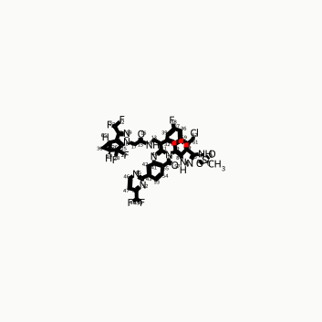 CS(=O)(=O)Nc1n[nH]c2c(-n3c(C(CNC(=O)Cn4nc(C(F)F)c5c4C(F)(F)[C@@H]4C[C@H]54)c4cc(F)cc(F)c4)nc4cc(-c5nccc(C(F)F)n5)ccc4c3=O)ccc(CCl)c12